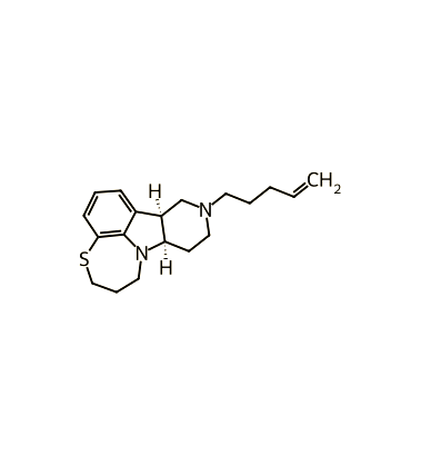 C=CCCCN1CC[C@@H]2[C@H](C1)c1cccc3c1N2CCCS3